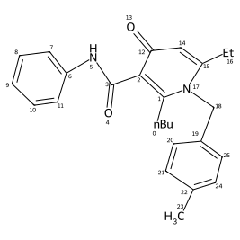 CCCCc1c(C(=O)Nc2ccccc2)c(=O)cc(CC)n1Cc1ccc(C)cc1